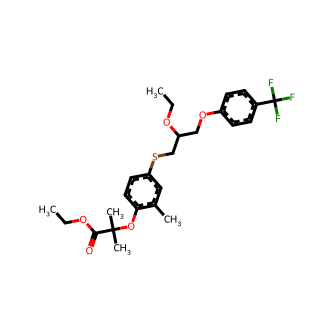 CCOC(=O)C(C)(C)Oc1ccc(SCC(COc2ccc(C(F)(F)F)cc2)OCC)cc1C